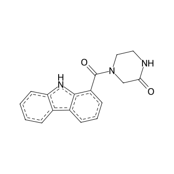 O=C1CN(C(=O)c2cccc3c2[nH]c2ccccc23)CCN1